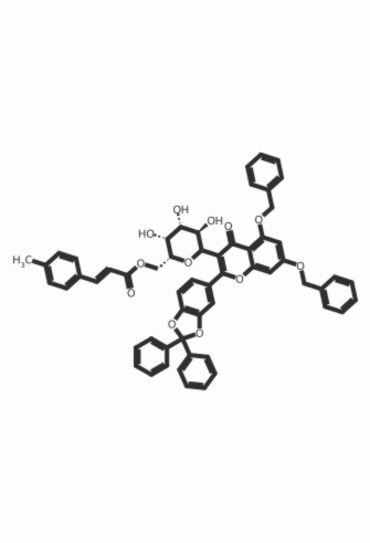 Cc1ccc(C=CC(=O)OC[C@H]2OC(c3c(-c4ccc5c(c4)OC(c4ccccc4)(c4ccccc4)O5)oc4cc(OCc5ccccc5)cc(OCc5ccccc5)c4c3=O)[C@H](O)[C@@H](O)[C@H]2O)cc1